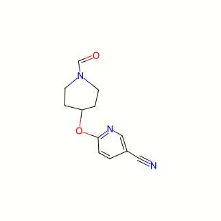 N#Cc1ccc(OC2CCN(C=O)CC2)nc1